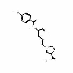 O=CC(CCCN1CCC(C(=O)O)C1)NC(=O)c1ccc(Cl)cc1